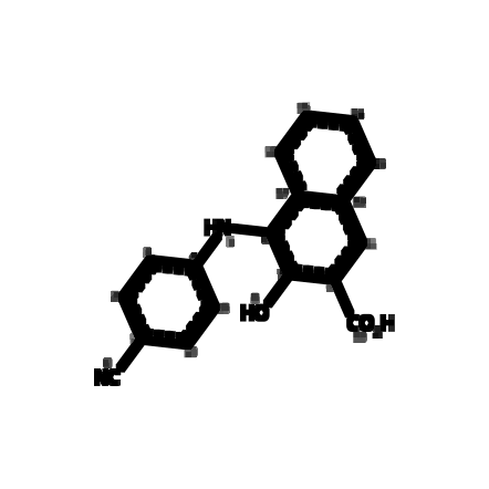 N#Cc1ccc(Nc2c(O)c(C(=O)O)cc3ccccc23)cc1